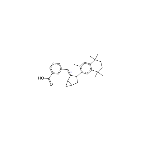 Cc1cc2c(cc1C1CC3CC3/C1=C\c1cccc(C(=O)O)c1)C(C)(C)CCC2(C)C